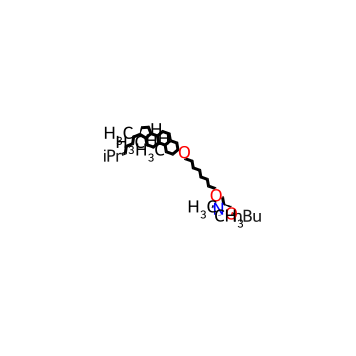 CCCCOC[C@H](COCCCCCCCCO[C@H]1CCC2(C)C(=CC[C@@H]3[C@@H]2CC[C@]2(C)[C@@H]([C@H](C)CCCC(C)C)CC[C@@H]32)C1)N(C)C